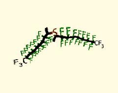 CC(SC(C)C(F)(F)C(F)(F)C(F)(F)C(F)(F)C(F)(F)C(F)(F)C(F)(F)C(F)(F)F)C(F)(F)C(F)(F)C(F)(F)C(F)(F)C(F)(F)C(F)(F)C(F)(F)C(F)(F)F